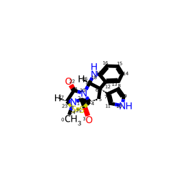 CN1C(=O)[C@@]23C[C@]4(c5cc[nH]c5)c5ccccc5N[C@@H]4N2C(=O)[C@@H]1SS3